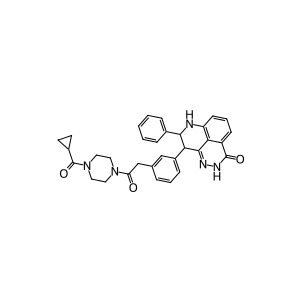 O=C(Cc1cccc(C2c3n[nH]c(=O)c4cccc(c34)NC2c2ccccc2)c1)N1CCN(C(=O)C2CC2)CC1